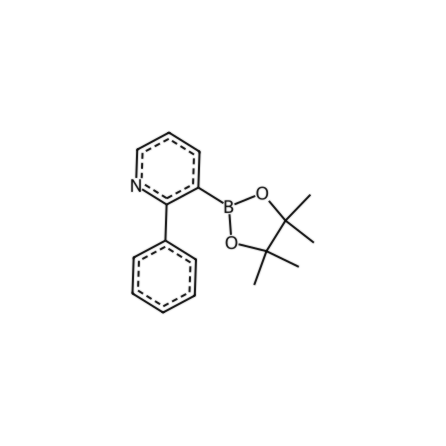 CC1(C)OB(c2cccnc2-c2ccccc2)OC1(C)C